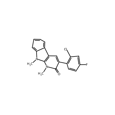 Cn1c(=O)c(-c2ccc(F)cc2Cl)cc2c3ccccc3n(C)c21